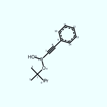 CC(C)C(C)(C)OB(O)C#Cc1ccccc1